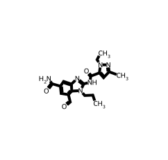 CCCn1c(NC(=O)c2cc(C)nn2CC)nc2cc(C(N)=O)cc(C=O)c21